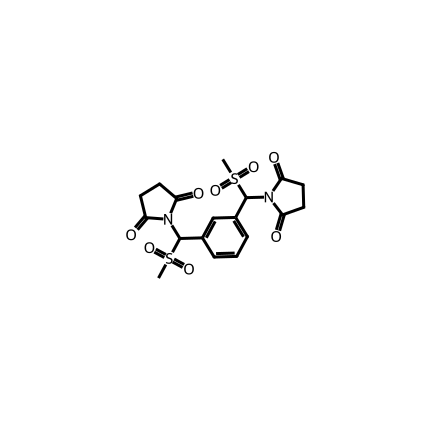 CS(=O)(=O)C(c1cccc(C(N2C(=O)CCC2=O)S(C)(=O)=O)c1)N1C(=O)CCC1=O